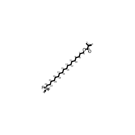 C=C(C)C(=O)OCCCCCCCCCCCCCCCCCC[Si](F)(F)F